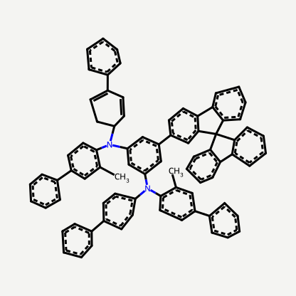 Cc1cc(-c2ccccc2)ccc1N(c1ccc(-c2ccccc2)cc1)c1cc(-c2ccc3c(c2)C2(c4ccccc4-c4ccccc42)c2ccccc2-3)cc(N(c2ccc(-c3ccccc3)cc2C)C2C=CC(c3ccccc3)=CC2)c1